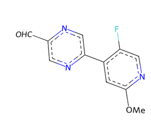 COc1cc(-c2cnc(C=O)cn2)c(F)cn1